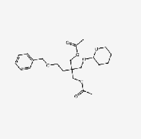 CC(=O)OCC(CCOCc1ccccc1)(COC(C)=O)COC1CCCCO1